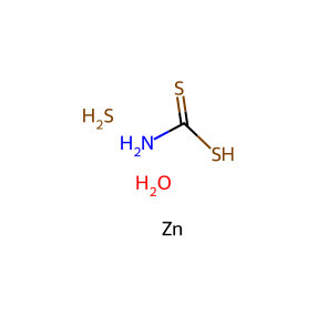 NC(=S)S.O.S.[Zn]